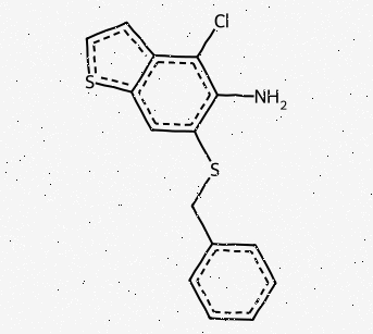 Nc1c(SCc2ccccc2)cc2sccc2c1Cl